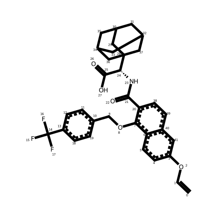 C=COc1ccc2c(OCc3ccc(C(F)(F)F)cc3)c(C(=O)N[C@H](C(=O)O)C34CC5CC(CC(C5)C3)C4)ccc2c1